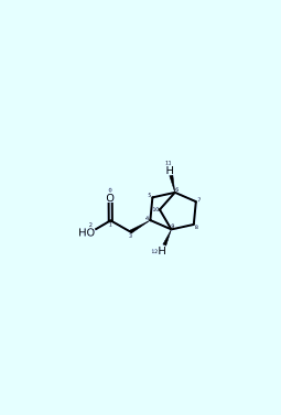 O=C(O)C[C@H]1C[C@@H]2CC[C@H]1C2